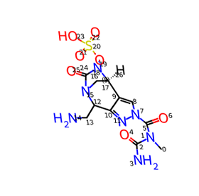 CN(C(N)=O)C(=O)n1cc2c(n1)C(CN)N1C[C@H]2N(OS(=O)(=O)O)C1=O